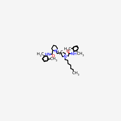 CCCCCCC[N+](CC)(CCCN1CCCCC1C(=O)Nc1c(C)cccc1C)CC(=O)Nc1c(C)cccc1C